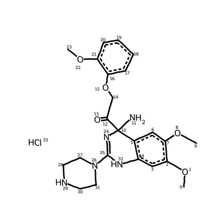 COc1cc2c(cc1OC)C(N)(C(=O)COc1ccccc1OC)N=C(N1CCNCC1)N2.Cl